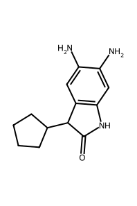 Nc1cc2c(cc1N)C(C1CCCC1)C(=O)N2